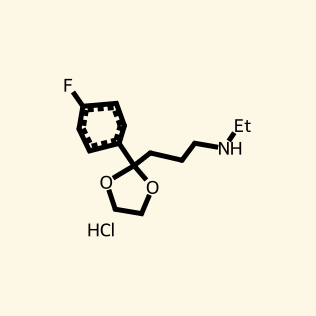 CCNCCCC1(c2ccc(F)cc2)OCCO1.Cl